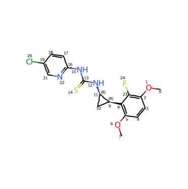 COc1ccc(OC)c([C@H]2C[C@H]2NC(=S)Nc2ccc(Cl)cn2)c1F